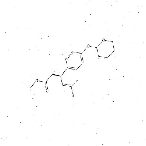 COC(=O)C[C@H](/C=C(\C)I)c1ccc(OC2CCCCO2)cc1